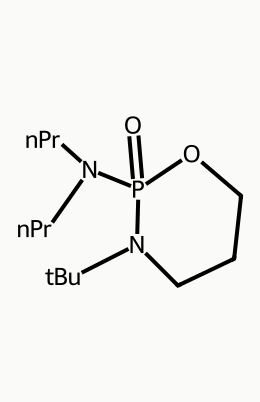 CCCN(CCC)P1(=O)OCCCN1C(C)(C)C